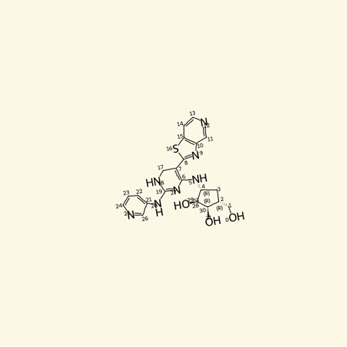 OC[C@H]1C[C@@H](NC2=C(c3nc4cnccc4s3)CNC(Nc3cccnc3)=N2)[C@H](O)[C@@H]1O